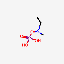 CCN(C)OP(=O)(O)O